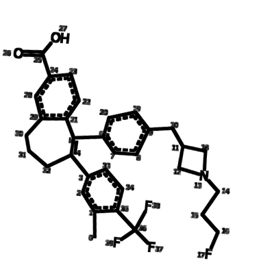 Cc1cc(C2=C(c3ccc(CC4CN(CCCF)C4)cc3)c3ccc(C(=O)O)cc3CCC2)ccc1C(F)(F)F